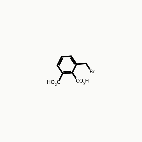 O=C(O)c1cccc(CBr)c1C(=O)O